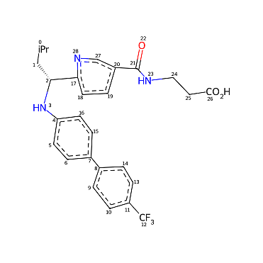 CC(C)C[C@@H](Nc1ccc(-c2ccc(C(F)(F)F)cc2)cc1)c1ccc(C(=O)NCCC(=O)O)cn1